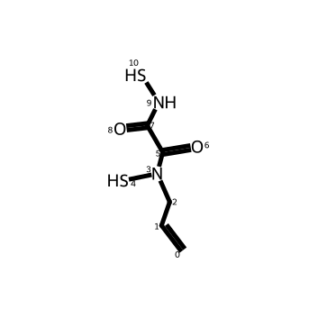 C=CCN(S)C(=O)C(=O)NS